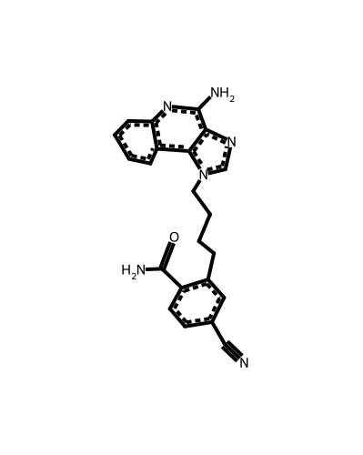 N#Cc1ccc(C(N)=O)c(CCCCn2cnc3c(N)nc4ccccc4c32)c1